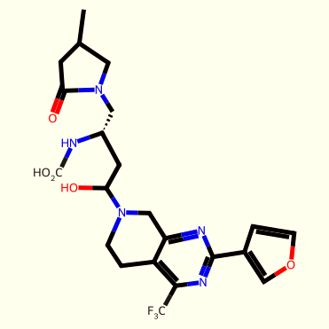 CC1CC(=O)N(C[C@H](CC(O)N2CCc3c(nc(-c4ccoc4)nc3C(F)(F)F)C2)NC(=O)O)C1